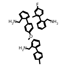 COc1ccc(-c2ccccc2CN)cc1.Cc1cc(F)ccc1-c1ccccc1CN.Cc1ccc(-c2ccccc2CN)cc1